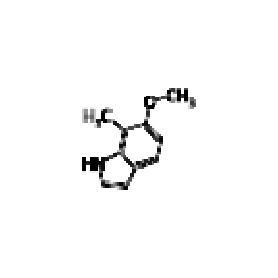 COc1ccc2cc[nH]c2c1C